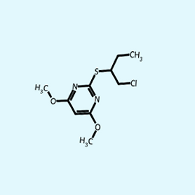 CCC(CCl)Sc1nc(OC)cc(OC)n1